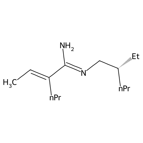 C/C=C(CCC)/C(N)=N/C[C@H](CC)CCC